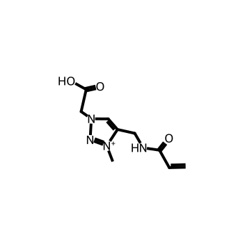 C=CC(=O)NCc1cn(CC(=O)O)n[n+]1C